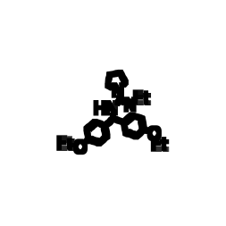 CC/N=C(/NC(c1ccc(OCC)cc1)c1ccc(OCC)cc1)N1CCCC1